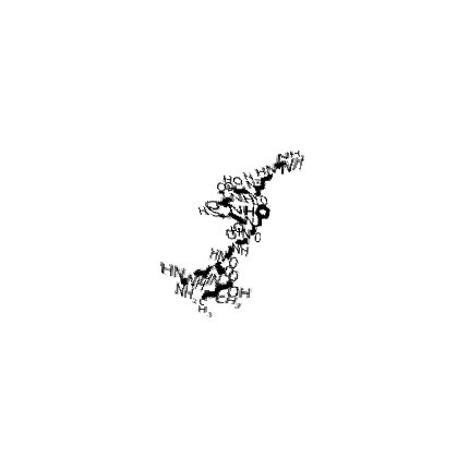 CC[C@H](C)[C@H](NC(=O)[C@H](CCCNC(=N)N)NC(=O)CNC(=O)CNC(=O)[C@H](Cc1ccccc1)NC(=O)[C@H](CS)NC(=O)[C@H](CO)NC(=O)[C@H](CO)NC(=O)[C@@H](N)CCCNC(=N)N)C(=O)O